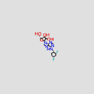 OC[C@H]1O[C@@H](n2cnc3c(NCc4ccc(F)cc4F)ncnc32)[C@H](O)[C@@H]1O